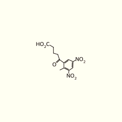 Cc1c(C(=O)CCCC(=O)O)cc([N+](=O)[O-])cc1[N+](=O)[O-]